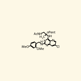 CCCCC[C@](C)(CNC(C)=O)Nc1nc(NCc2ccc(OC)cc2OC)nc2cc(Cl)cnc12